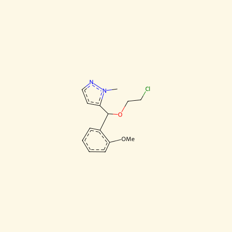 COc1ccccc1C(OCCCl)c1ccnn1C